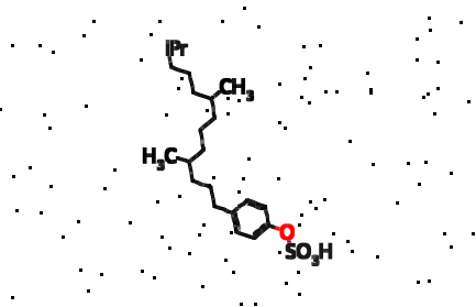 CC(C)CCCC(C)CCCC(C)CCCc1ccc(OS(=O)(=O)O)cc1